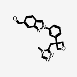 Cn1cnnc1CC1(c2cccc(-n3cc4ccc(C=O)cc4n3)c2)COC1